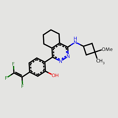 COC1(C)CC(Nc2nnc(-c3ccc(C(F)=C(F)F)cc3O)c3c2CCCC3)C1